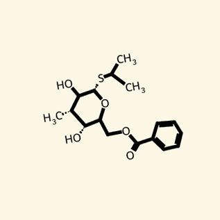 CC(C)S[C@@H]1OC(COC(=O)c2ccccc2)[C@H](O)[C@H](C)C1O